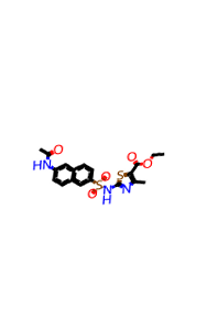 CCOC(=O)c1sc(NS(=O)(=O)c2ccc3cc(NC(C)=O)ccc3c2)nc1C